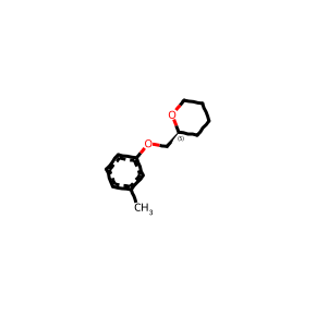 Cc1cccc(OC[C@@H]2CCCCO2)c1